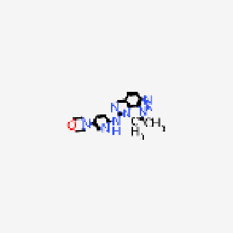 CC(C)n1nnc2ccc3cnc(Nc4ccc(N5CCOCC5)cn4)nc3c21